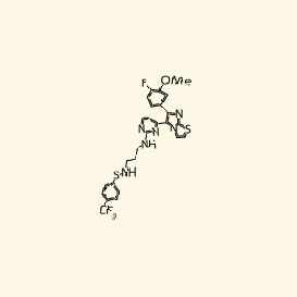 COc1cc(-c2nc3sccn3c2-c2ccnc(NCCCNSc3ccc(C(F)(F)F)cc3)n2)ccc1F